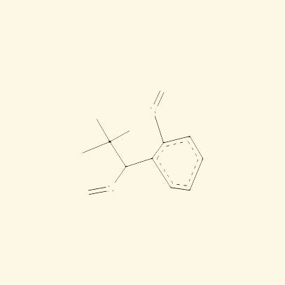 C=Nc1ccccc1C(N=C)C(C)(C)C